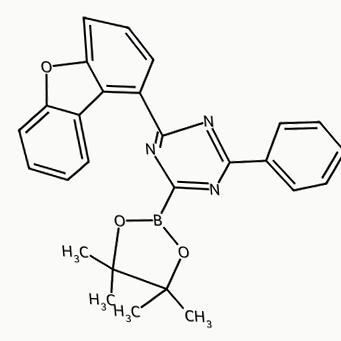 CC1(C)OB(c2nc(-c3ccccc3)nc(-c3cccc4oc5ccccc5c34)n2)OC1(C)C